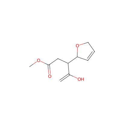 C=C(O)C(CC(=O)OC)C1C=CCO1